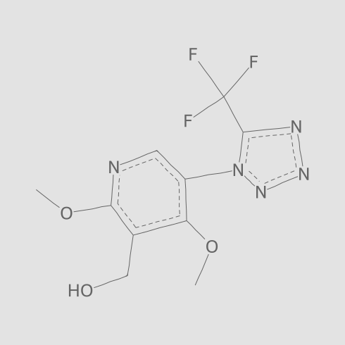 COc1ncc(-n2nnnc2C(F)(F)F)c(OC)c1CO